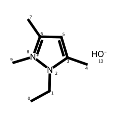 CCn1c(C)cc(C)[n+]1C.[OH-]